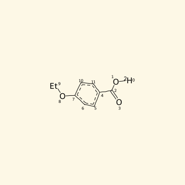 [2H]OC(=O)c1ccc(OCC)cc1